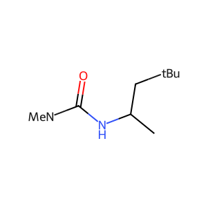 CNC(=O)NC(C)CC(C)(C)C